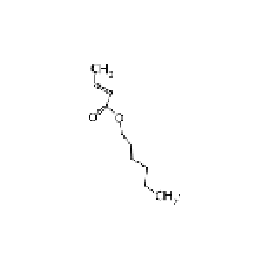 [CH2]CCCCCOC(=O)C=CC